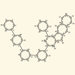 c1ccc(-c2ccc(-c3cccc(-c4cccc(-c5nc(-c6ccccc6)c6c(n5)sc5cc7ccccc7cc56)c4)c3)cc2)cc1